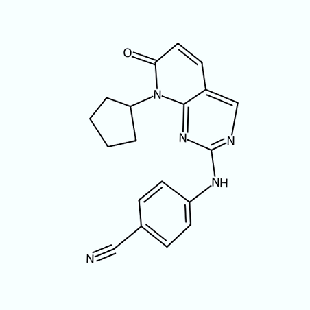 N#Cc1ccc(Nc2ncc3ccc(=O)n(C4CCCC4)c3n2)cc1